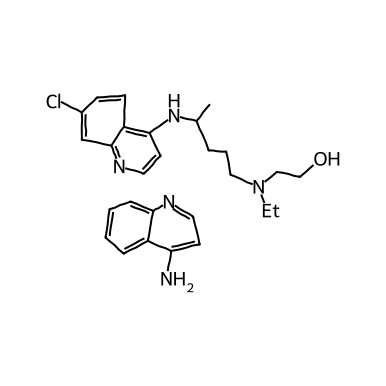 CCN(CCO)CCCC(C)Nc1ccnc2cc(Cl)ccc12.Nc1ccnc2ccccc12